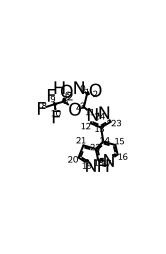 NC(=O)C(OC(=O)C(F)(F)F)n1cc(-c2ccnc3[nH]ccc23)cn1